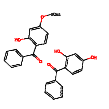 CCCCCCCCOc1ccc(C(=O)c2ccccc2)c(O)c1.O=C(c1ccccc1)c1ccc(O)cc1O